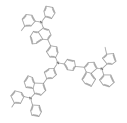 Cc1cccc(N(c2ccccc2)c2ccc(-c3ccc(N(c4ccc(-c5ccc(N(c6ccccc6)c6cccc(C)c6)c6ccccc56)cc4)c4ccc(-c5ccc(N(c6ccccc6)c6cccc(C)c6)c6ccccc56)cc4)cc3)c3ccccc23)c1